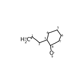 C=CCC1CCCCC1[O]